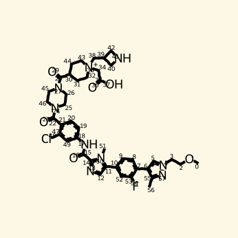 COCCn1cc(-c2ccc(-c3cnc(C(=O)Nc4ccc(C(=O)N5CCN(C(=O)C6CC[N+](CC(=O)O)(CC7CNC7)CC6)CC5)c(Cl)c4)n3C)cc2F)c(C)n1